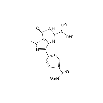 CCCN(CCC)c1nc2c(-c3ccc(C(=O)NC)cc3)nn(C)c2c(=O)[nH]1